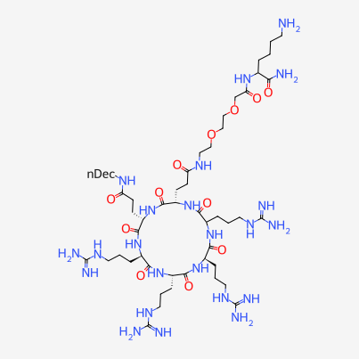 CCCCCCCCCCNC(=O)CC[C@@H]1NC(=O)[C@H](CCC(=O)NCCOCCOCC(=O)NC(CCCCN)C(N)=O)NC(=O)C(CCCNC(=N)N)NC(=O)[C@@H](CCCNC(=N)N)NC(=O)[C@H](CCCNC(=N)N)NC(=O)[C@@H](CCCNC(=N)N)NC1=O